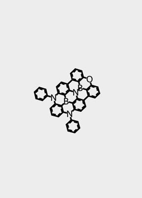 c1ccc(N2c3cccc4c3B3c5c2ccc2c5N5B6c7c(cccc7-2)Oc2cccc(c26)-c2ccc(c3c25)N4c2ccccc2)cc1